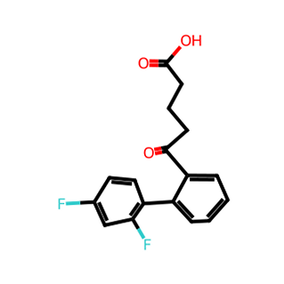 O=C(O)CCCC(=O)c1ccccc1-c1ccc(F)cc1F